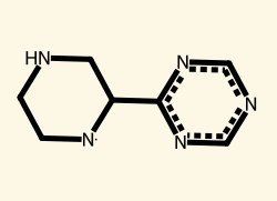 c1ncnc(C2CNCC[N]2)n1